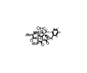 CC[C@H](C)[C@H](N)C(=O)N[C@H](C(=O)N(C(=O)OCc1ccccc1)C(CC(C)C)P(=O)(O)C[C]=O)[C@@H](C)CC